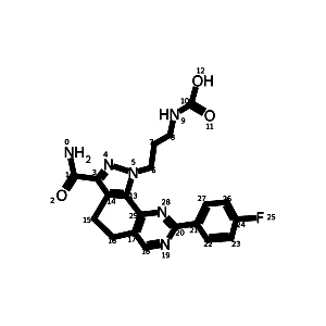 NC(=O)c1nn(CCCNC(=O)O)c2c1CCc1cnc(-c3ccc(F)cc3)nc1-2